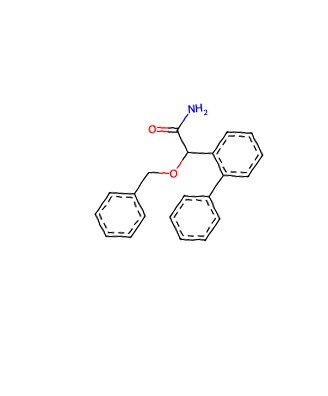 NC(=O)C(OCc1ccccc1)c1ccccc1-c1ccccc1